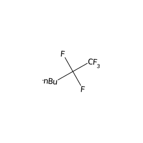 CCC[CH]C(F)(F)C(F)(F)F